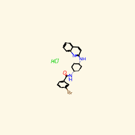 Cl.O=C(N[C@H]1CC[C@@H](Nc2ccc3ccccc3n2)CC1)c1cccc(Br)c1